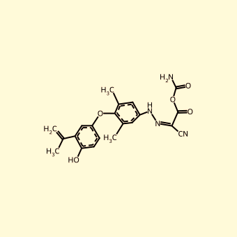 C=C(C)c1cc(Oc2c(C)cc(NN=C(C#N)C(=O)OC(N)=O)cc2C)ccc1O